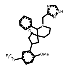 COc1ccc(OC(F)(F)F)cc1C1CC(=O)C2(CCCN(Cc3nc[nH]n3)C2c2ccccc2)C1